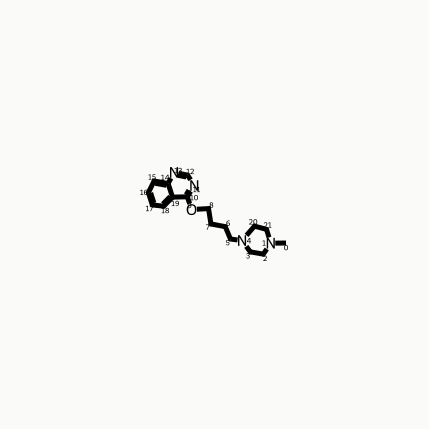 CN1CCN(CCCCOc2ncnc3ccccc23)CC1